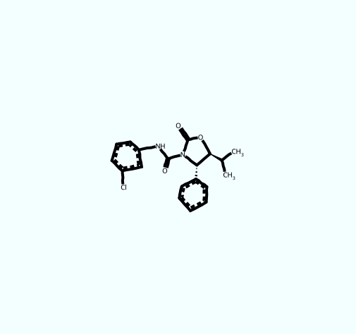 CC(C)[C@@H]1OC(=O)N(C(=O)Nc2cccc(Cl)c2)[C@H]1c1ccccc1